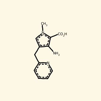 Cn1cc(Cc2ccccn2)c(N)c1C(=O)O